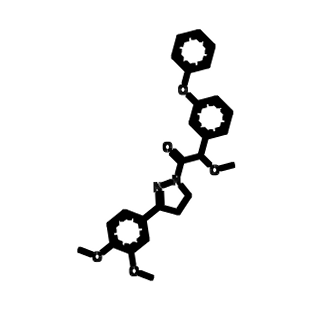 COc1ccc(C2=NN(C(=O)C(OC)c3cccc(Oc4ccccc4)c3)CC2)cc1OC